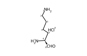 Cl.NCCCC[C@H](N)C=O